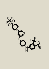 O=[N+]([O-])c1ccc(N[C@H]2CC[C@H](Oc3cncc(N4CCN(S(=O)(=O)C(F)(F)F)CC4)c3)CC2)cc1C(F)(F)F